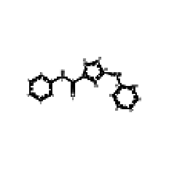 O=C(Nc1ccccc1)c1nnc(Nc2ccccn2)o1